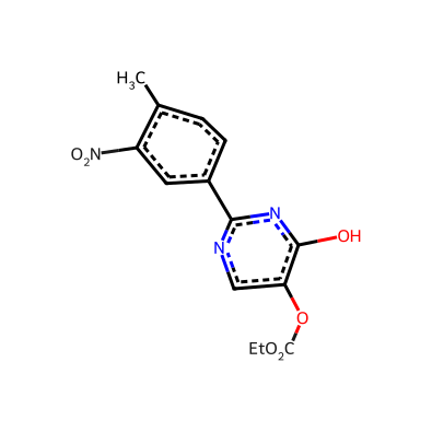 CCOC(=O)Oc1cnc(-c2ccc(C)c([N+](=O)[O-])c2)nc1O